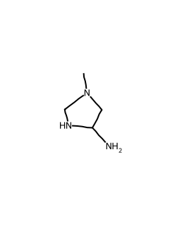 CN1CNC(N)C1